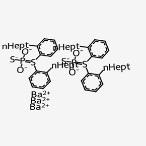 CCCCCCCc1ccccc1S(c1ccccc1CCCCCCC)=P([O-])([O-])[S-].CCCCCCCc1ccccc1S(c1ccccc1CCCCCCC)=P([O-])([O-])[S-].[Ba+2].[Ba+2].[Ba+2]